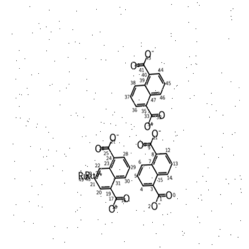 O=C([O-])c1cccc2c(C(=O)[O-])cccc12.O=C([O-])c1cccc2c(C(=O)[O-])cccc12.O=C([O-])c1cccc2c(C(=O)[O-])cccc12.[Ru+3].[Ru+3]